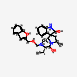 CC(C)C[C@@H](C(O)N1C[C@]2(C[C@H]1C#N)C(=O)Nc1ccccc12)N(C)COCc1cc2ccccc2o1